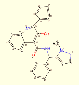 Cn1nccc1C(NC(=O)c1c(O)c(-c2ccccc2)nc2ccccc12)c1ccccc1